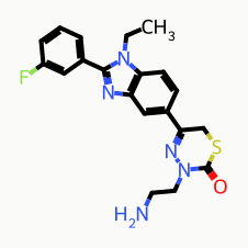 CCn1c(-c2cccc(F)c2)nc2cc(C3=NN(CCN)C(=O)SC3)ccc21